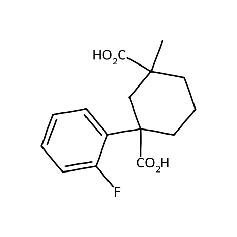 CC1(C(=O)O)CCCC(C(=O)O)(c2ccccc2F)C1